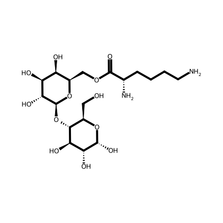 NCCCC[C@H](N)C(=O)OC[C@H]1O[C@@H](O[C@H]2[C@H](O)[C@@H](O)[C@@H](O)O[C@@H]2CO)[C@H](O)[C@@H](O)[C@H]1O